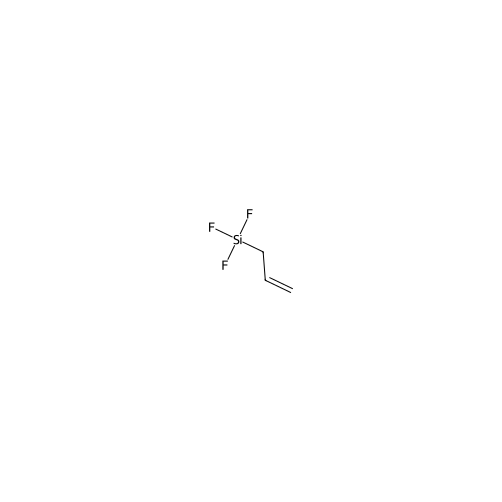 C=CC[Si](F)(F)F